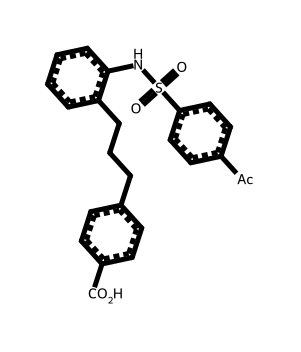 CC(=O)c1ccc(S(=O)(=O)Nc2ccccc2CCCc2ccc(C(=O)O)cc2)cc1